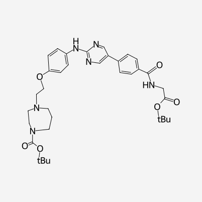 CC(C)(C)OC(=O)CNC(=O)c1ccc(-c2cnc(Nc3ccc(OCCN4CCCN(C(=O)OC(C)(C)C)CC4)cc3)nc2)cc1